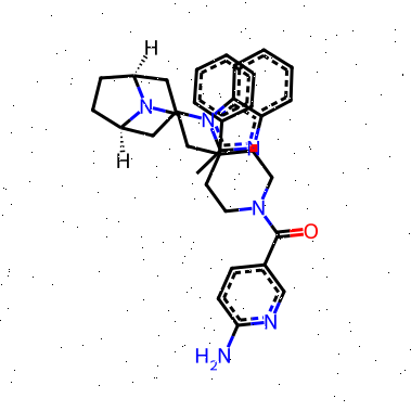 Cc1nc2ccccc2n1C1C[C@H]2CC[C@@H](C1)N2CCC1(c2ccccc2)CCN(C(=O)c2ccc(N)nc2)CC1